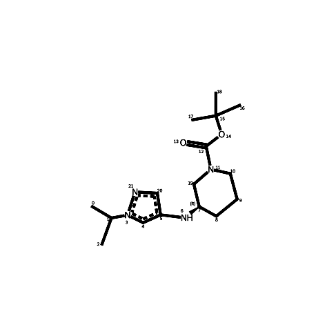 CC(C)n1cc(N[C@@H]2CCCN(C(=O)OC(C)(C)C)C2)cn1